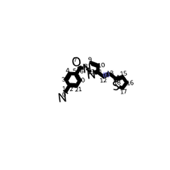 N#Cc1ccc(C(=O)n2ccc(/C=C/C3=CCCS3)n2)cc1